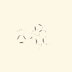 CCOC(=O)C1=C(C)NC(C)=C(C(=O)OC)C1c1c(F)cccc1Cl.c1ccc2c(c1)CNC2